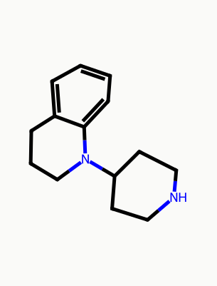 c1ccc2c(c1)CCCN2C1CCNCC1